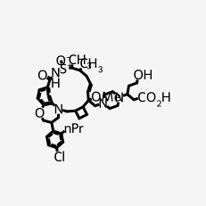 CCCc1cc(Cl)ccc1C1COc2ccc3cc2N(C1)CC1CCC1C(CN1CCN(C(CCO)CC(=O)O)CC1)(OC)/C=C/CC(C)C(C)[S+]([O-])NC3=O